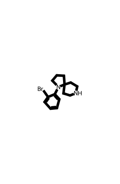 Brc1ccccc1N1CCCC12CCNCC2